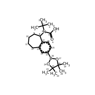 CC(C)(C)N(C(=O)O)C1CCCCc2cc(B3OC(C)(C)C(C)(C)O3)ccc21